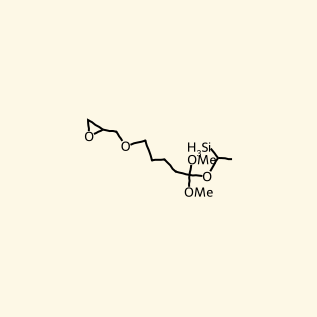 COC(CCCCOCC1CO1)(OC)OC(C)[SiH3]